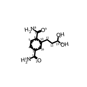 NC(=O)c1ccc(C(N)=O)c(CCC(O)O)c1